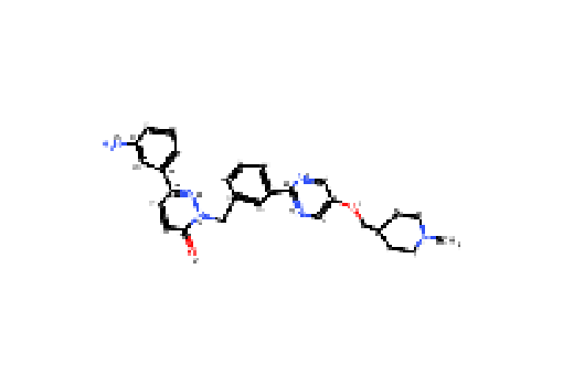 CN1CCC(COc2cnc(-c3cccc(Cn4nc(-c5cccc(N)c5)ccc4=O)c3)nc2)CC1